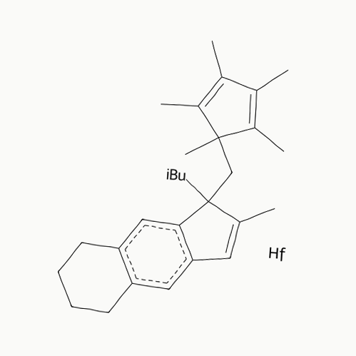 CCC(C)C1(CC2(C)C(C)=C(C)C(C)=C2C)C(C)=Cc2cc3c(cc21)CCCC3.[Hf]